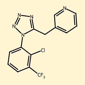 FC(F)(F)c1cccc(-n2nnnc2Cc2cccnc2)c1Cl